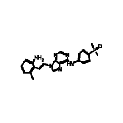 Cc1cccc(N)c1C=Cn1cnc2c(Nc3ccc(P(C)(C)=O)cc3)ncnc21